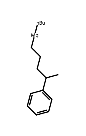 CCC[CH2][Mg][CH2]CCC(C)c1ccccc1